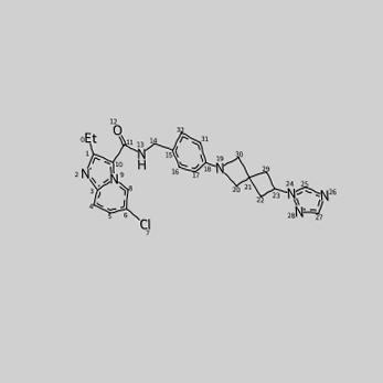 CCc1nc2ccc(Cl)cn2c1C(=O)NCc1ccc(N2CC3(CC(n4cncn4)C3)C2)cc1